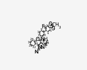 CS(=O)(=O)c1ccc(-c2cccc(NC(=O)c3c(C(F)(F)F)nn(C#N)c3-c3ccccc3)c2)c(F)c1